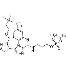 CCCCOP(=O)(OCCCC)OCCCNc1nc2cc(C(F)(F)F)ccc2n2c(-c3ccnn3COCC[Si](C)(C)C)cnc12